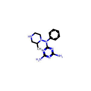 CC1CNCCN1N(c1ccccc1)c1nc(N)nc(N)n1